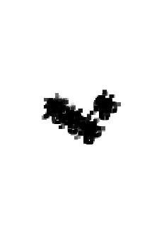 CCCCOC(CC(C(C)=O)C(=O)[O-])(OCCCC)OCCCC.CCCCOC(CC(C(C)=O)C(=O)[O-])(OCCCC)OCCCC.CCCCOC(CC(C(C)=O)C(=O)[O-])(OCCCC)OCCCC.CCCCOC(CC(C(C)=O)C(=O)[O-])(OCCCC)OCCCC.[Zr+4]